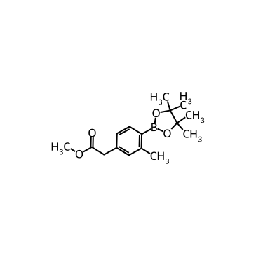 COC(=O)Cc1ccc(B2OC(C)(C)C(C)(C)O2)c(C)c1